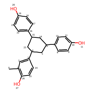 Cc1cc(C2CC(c3ccc(O)cc3)CC(c3ccc(O)cc3)C2)ccc1O